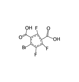 O=C(O)c1c(F)c(F)c(Br)c(C(=O)O)c1F